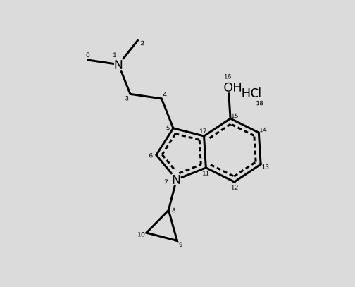 CN(C)CCc1cn(C2CC2)c2cccc(O)c12.Cl